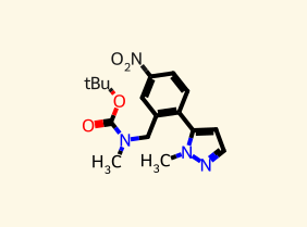 CN(Cc1cc([N+](=O)[O-])ccc1-c1ccnn1C)C(=O)OC(C)(C)C